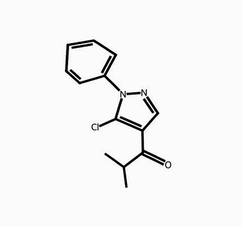 CC(C)C(=O)c1cnn(-c2ccccc2)c1Cl